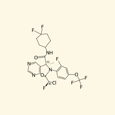 C[C@@](C(=O)NC1CCC(F)(F)CC1)(c1cncnc1)N(C(=O)[C@H](F)Cl)c1ccc(OC(F)(F)F)cc1F